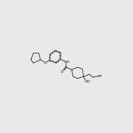 CC(C)CCC1(O)CCN(C(=O)Nc2cccc(OC3CCCC3)c2)CC1